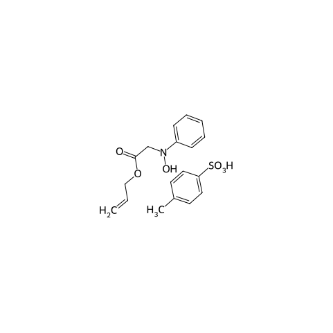 C=CCOC(=O)CN(O)c1ccccc1.Cc1ccc(S(=O)(=O)O)cc1